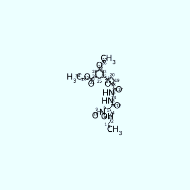 CCCCCC(CN(O)C=O)C(=O)NCNC(=O)c1ccc(-c2cc(OCC)cc(C(=O)OCC)c2)o1